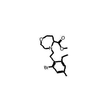 CCc1cc(C)cc(Br)c1CCN1CCOCCC1C(=O)OC